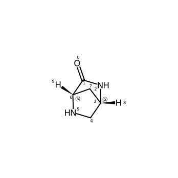 O=C1N[C@@H]2CN[C@H]1C2